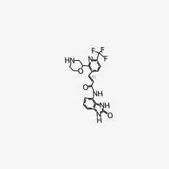 O=C(/C=C/c1ccc(C(F)(F)F)nc1C1CNCCO1)Nc1cccc2[nH]c(=O)[nH]c12